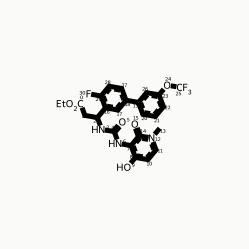 CCOC(=O)CC(NC(=O)Nc1c(O)ccn(C)c1=O)c1cc(-c2cccc(OC(F)(F)F)c2)ccc1F